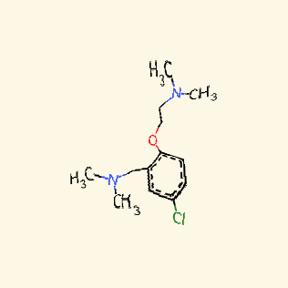 CN(C)CCOc1ccc(Cl)cc1CN(C)C